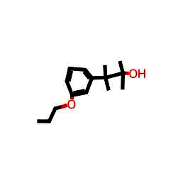 CCCOc1cccc(C(C)(C)C(C)(C)O)c1